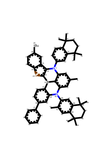 Cc1cc2c3c(c1)N(c1ccc4c(c1)C(C)(C)CCC4(C)C)c1c(sc4ccc(C(C)(C)C)cc14)B3c1ccc(-c3ccccc3)cc1N2c1cc2c(cc1C)C(C)(C)CCC2(C)C